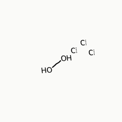 OO.[C].[C].[C]